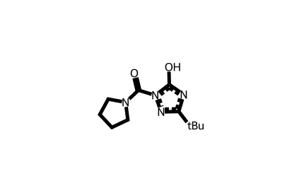 CC(C)(C)c1nc(O)n(C(=O)N2CCCC2)n1